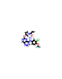 C=CC(=O)N1CC[C@H](Oc2ncc3ncnc(Nc4ccc(OC(F)F)c(Cl)c4F)c3n2)C1